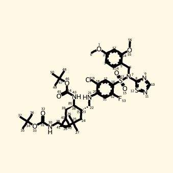 COc1ccc(CN(c2ncns2)S(=O)(=O)c2cc(Cl)c(NC[C@H](CC(C)(C)CCNC(=O)OC(C)(C)C)[C@@H](CC3CC3)NC(=O)OC(C)(C)C)cc2F)c(OC)c1